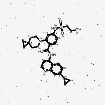 O=C(Nc1ccnc2cc(C3CC3)ccc12)c1ccc(NS(=O)(=O)CCO)cc1N1CCC2(CC1)CC2